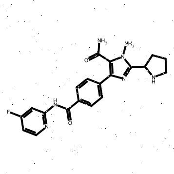 NC(=O)c1c(-c2ccc(C(=O)Nc3cc(F)ccn3)cc2)nc(C2CCCN2)n1N